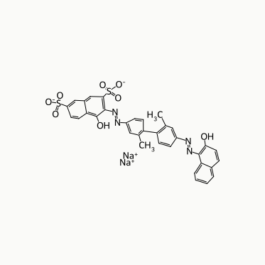 Cc1cc(N=Nc2c(S(=O)(=O)[O-])cc3cc(S(=O)(=O)[O-])ccc3c2O)ccc1-c1ccc(N=Nc2c(O)ccc3ccccc23)cc1C.[Na+].[Na+]